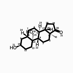 C[C@]12CC[C@H]3[C@@H](CC[C@H]4C[C@H](O)CC[C@@]43CO)[C@@H]1CCC2=O